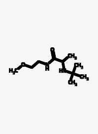 COCCNC(=O)C(C)NC(C)(C)C